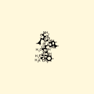 CC(C)(C)[C@H](NC(=O)NC1(CS(=O)(=O)C(C)(C)C)CCCCC1)C(=O)N1C[C@H]2[C@H](CCC23CC3)[C@H]1C(=O)NC(CC1CC1)C(=O)C(N)=O